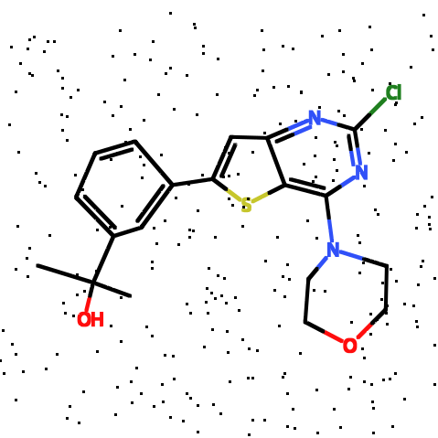 CC(C)(O)c1cccc(-c2cc3nc(Cl)nc(N4CCOCC4)c3s2)c1